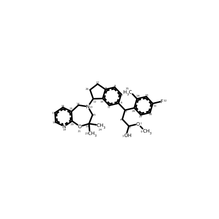 COC(O)CC(c1ccc2c(c1)C(N1Cc3cccnc3OC(C)(C)C1)CC2)c1ccc(F)cc1C